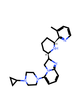 Cc1cccnc1[C@@H]1CCC[C@H](C2CN3C(N4CCN(C5CC5)CC4)=CC=CC3=N2)N1